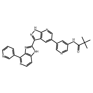 CC(C)(C)C(=O)Nc1cncc(-c2cnc3[nH]nc(-c4nc5c(-c6cccnc6)nccc5[nH]4)c3c2)c1